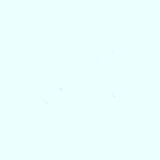 O=Cc1cnc2ccc(-c3cncc(C(F)(F)F)c3)cn12